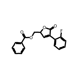 O=C1OC(COC(=O)c2ccccc2)C=C1c1ccccc1F